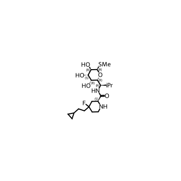 CS[C@H]1O[C@H]([C@H](NC(=O)[C@@H]2CC(F)(CCC3CC3)CCN2)C(C)C)[C@H](O)[C@H](O)[C@H]1O